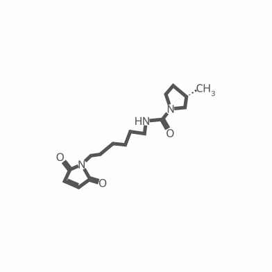 C[C@H]1CCN(C(=O)NCCCCCCN2C(=O)C=CC2=O)C1